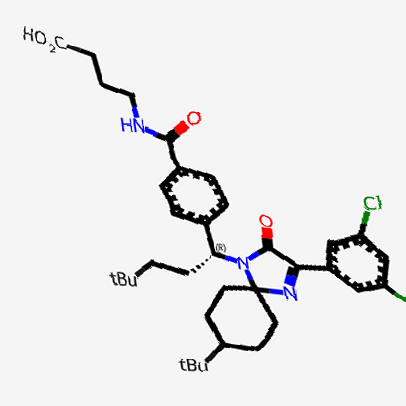 CC(C)(C)CC[C@H](c1ccc(C(=O)NCCCC(=O)O)cc1)N1C(=O)C(c2cc(Cl)cc(Cl)c2)=NC12CCC(C(C)(C)C)CC2